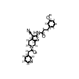 COc1cccc(CCC(=O)Nc2sc3c(c2C#N)CCN(C(=O)Cc2cccnc2)C3)c1